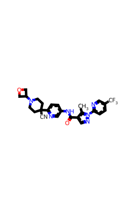 Cc1c(C(=O)Nc2ccc(C3(C#N)CCN(C4COC4)CC3)nc2)cnn1-c1ccc(C(F)(F)F)cn1